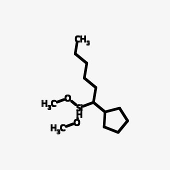 CCCCCC(C1CCCC1)[SiH](OC)OC